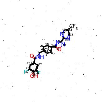 O=C(NCC12CCC(c3nc(-c4ncc(C(F)(F)F)cn4)no3)(CC1)CC2)c1cc(F)c(O)c(F)c1